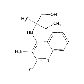 CCC(C)(CO)Nc1c(N)c(Cl)nc2ccccc12